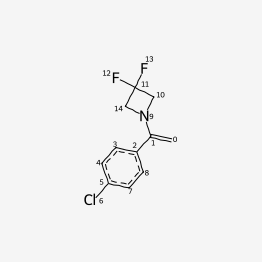 C=C(c1ccc(Cl)cc1)N1CC(F)(F)C1